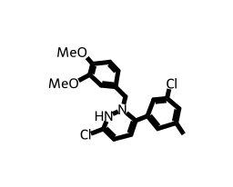 COc1ccc(CN2NC(Cl)=CC=C2c2cc(C)cc(Cl)c2)cc1OC